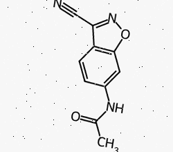 CC(=O)Nc1ccc2c(C#N)noc2c1